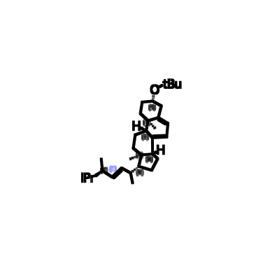 CC(/C=C/[C@H](C)C(C)C)[C@H]1CC[C@H]2C3=CC=C4C[C@@H](OC(C)(C)C)CC[C@]4(C)[C@H]3CC[C@]12C